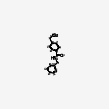 CC(C)(C)Cc1ccc(C(=O)NCc2ccccn2)cc1